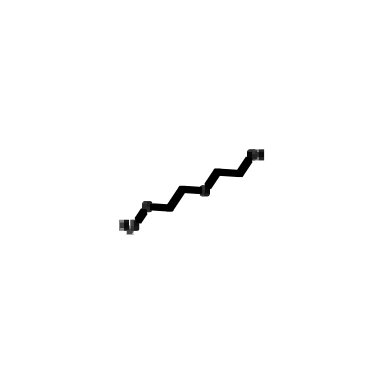 BOCCOCCO